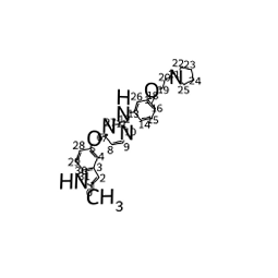 Cc1cc2cc(Oc3ccnc(Nc4cccc(OCCN5CCCC5)c4)n3)ccc2[nH]1